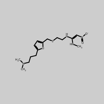 CNC(=C[N+](=O)[O-])NCCSCc1ccc(CCCN(C)C)o1